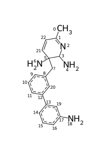 CC1=NC(N)C(N)(Cc2cccc(-c3cccc(N)c3)c2)C=C1